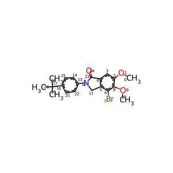 COc1cc2c(c(Br)c1OC)CN(c1ccc(C(C)(C)C)cc1)C2=O